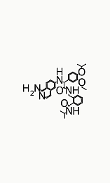 CCOc1cc(C(Nc2ccc3c(N)nccc3c2)C(=O)NCc2ccccc2C(=O)NC(C)C)ccc1OC(C)C